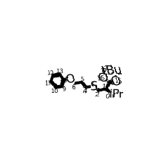 CC(C)C(CSCCCOc1ccccc1)C(=O)OC(C)(C)C